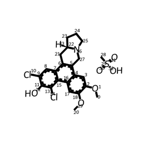 COc1cc2c3c(c4cc(Cl)c(O)c(Cl)c4c2cc1OC)C[C@@H]1CCCN1C3.CS(=O)(=O)O